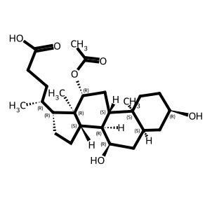 CC(=O)O[C@@H]1C[C@H]2[C@@H]([C@H](O)C[C@@H]3C[C@H](O)CC[C@@]32C)[C@@H]2CC[C@H]([C@H](C)CCC(=O)O)[C@@]12C